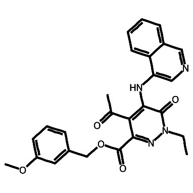 CCn1nc(C(=O)OCc2cccc(OC)c2)c(C(C)=O)c(Nc2cncc3ccccc23)c1=O